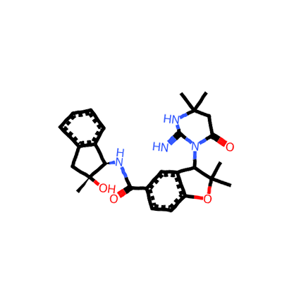 CC1(C)CC(=O)N(C2c3cc(C(=O)N[C@@H]4c5ccccc5C[C@@]4(C)O)ccc3OC2(C)C)C(=N)N1